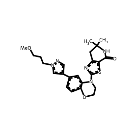 COCCCn1cc(-c2ccc3c(c2)N(c2nc4c(s2)C(=O)NC(C)(C)C4)CCO3)cn1